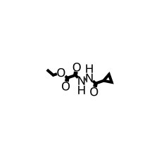 CCOC(=O)C(=O)NNC(=O)C1CC1